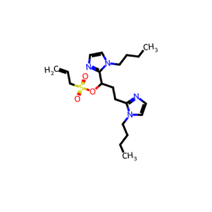 C=CCS(=O)(=O)OC(CCc1nccn1CCCC)c1nccn1CCCC